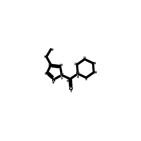 CCc1cnn(C(=O)N2CCCCC2)c1